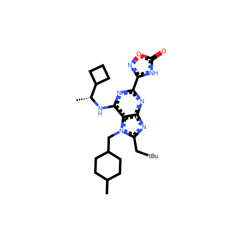 CC1CCC(Cn2c(CC(C)(C)C)nc3nc(-c4noc(=O)[nH]4)nc(N[C@H](C)C4CCC4)c32)CC1